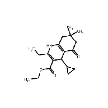 CCOC(=O)C1=C(CC)NC2=C(C(=O)CC(C)(C)C2)C1C1CC1